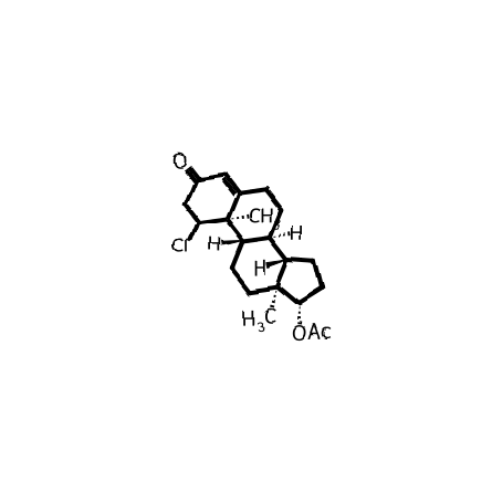 CC(=O)O[C@H]1CC[C@H]2[C@@H]3CCC4=CC(=O)CC(Cl)[C@]4(C)[C@H]3CC[C@]12C